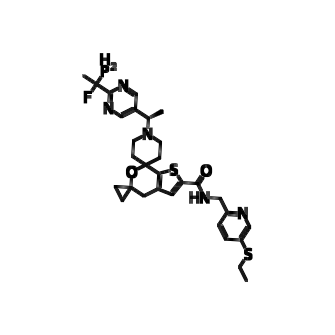 CCSc1ccc(CNC(=O)c2cc3c(s2)C2(CCN([C@H](C)c4cnc(C(C)(F)P)nc4)CC2)OC2(CC2)C3)nc1